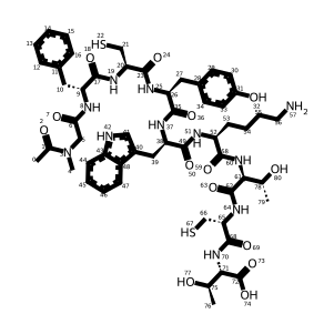 CC(=O)N(C)CC(=O)N[C@H](Cc1ccccc1)C(=O)N[C@@H](CS)C(=O)N[C@@H](Cc1ccc(O)cc1)C(=O)N[C@H](Cc1c[nH]c2ccccc12)C(=O)N[C@@H](CCCCN)C(=O)N[C@H](C(=O)N[C@@H](CS)C(=O)N[C@H](C(=O)O)[C@@H](C)O)[C@@H](C)O